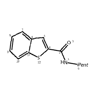 CCCC(C)NC(=O)c1cc2ccccc2s1